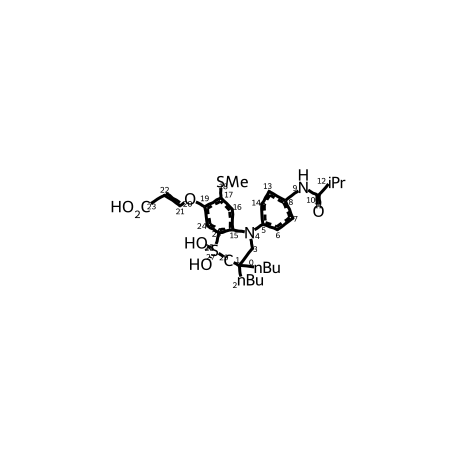 CCCCC1(CCCC)CN(c2ccc(NC(=O)C(C)C)cc2)c2cc(SC)c(O/C=C/C(=O)O)cc2S(O)(O)C1